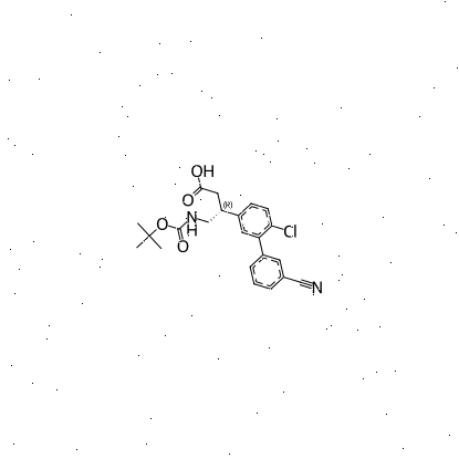 CC(C)(C)OC(=O)NC[C@H](CC(=O)O)c1ccc(Cl)c(-c2cccc(C#N)c2)c1